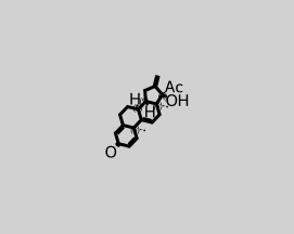 C=C1C[C@H]2[C@@H]3CCC4=CC(=O)C=C[C@]4(C)C3=CC[C@]2(C)[C@@]1(O)C(C)=O